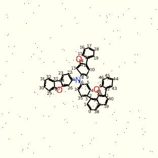 c1cc(-c2ccc(N(c3ccc4c(c3)oc3ccccc34)c3ccc4c(c3)oc3ccccc34)cc2)c2c(c1)ccc1c3ccccc3oc12